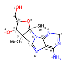 CO[C@]1(C)[C@H](O)[C@@H](CO)O[C@@]1([SiH3])n1cnc2c(N)ncnc21